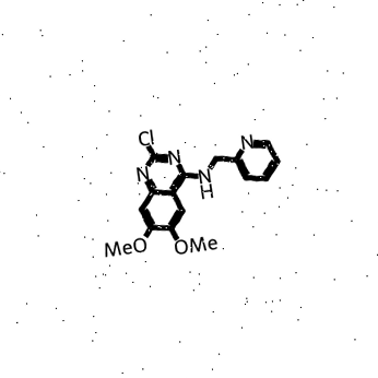 COc1cc2nc(Cl)nc(NCc3ccccn3)c2cc1OC